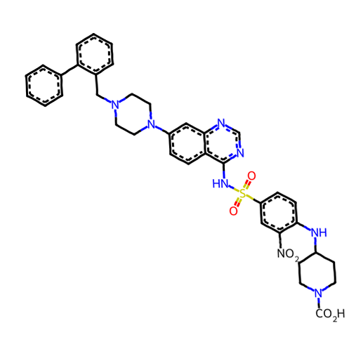 O=C(O)N1CCC(Nc2ccc(S(=O)(=O)Nc3ncnc4cc(N5CCN(Cc6ccccc6-c6ccccc6)CC5)ccc34)cc2[N+](=O)[O-])CC1